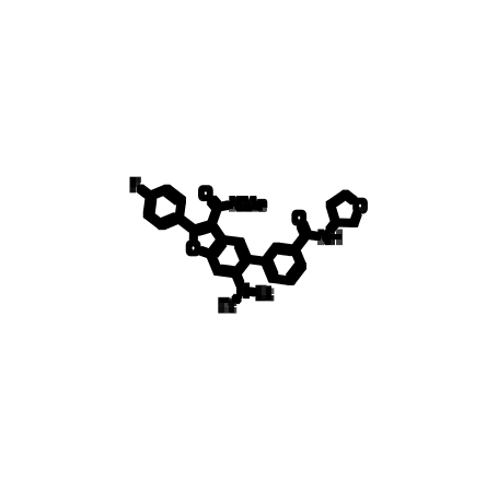 CCN(CC)c1cc2oc(-c3ccc(F)cc3)c(C(=O)NC)c2cc1-c1cccc(C(=O)NC2CCOC2)c1